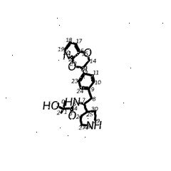 CC(C)(O)C(=O)NC(Cc1ccc([C@H]2COc3cccnc3O2)cc1)C1CCNCC1